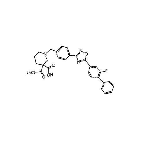 O=C(O)C1(C(=O)O)CCCN(Cc2ccc(-c3noc(-c4ccc(-c5ccccc5)c(F)c4)n3)cc2)C1